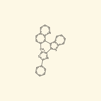 Cc1ccc2cccnc2c1-c1c(-c2csc(-c3ccccc3)n2)sc2ccccc12